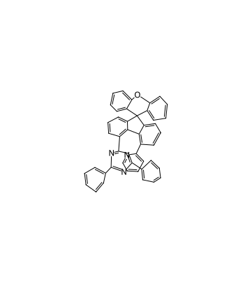 c1ccc(-c2cc(-c3cccc4c3-c3c(-c5ccccn5)cccc3C43c4ccccc4Oc4ccccc43)nc(-c3ccccc3)n2)cc1